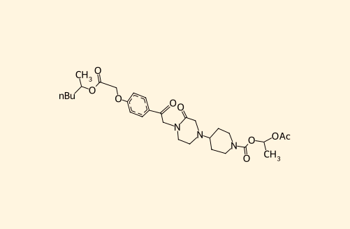 CCCCC(C)OC(=O)COc1ccc(C(=O)CN2CCN(C3CCN(C(=O)OC(C)OC(C)=O)CC3)CC2=O)cc1